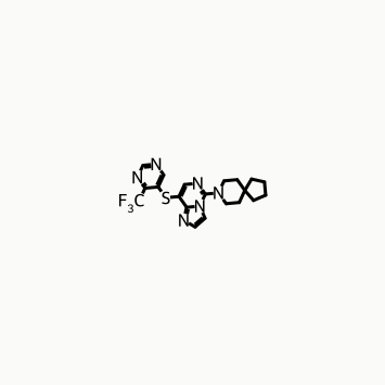 FC(F)(F)c1ncncc1Sc1cnc(N2CCC3(CCCC3)CC2)n2ccnc12